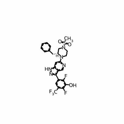 CS(=O)(=O)N1CCN(c2cc3[nH]nc(-c4cc(C(F)(F)F)c(F)c(O)c4F)c3cn2)[C@H](Cc2ccccc2)C1